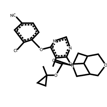 Cc1c(Oc2ccc(C#N)cc2Cl)ncnc1OC1C2COCC1CN(C(=O)OC1(C)CC1)C2